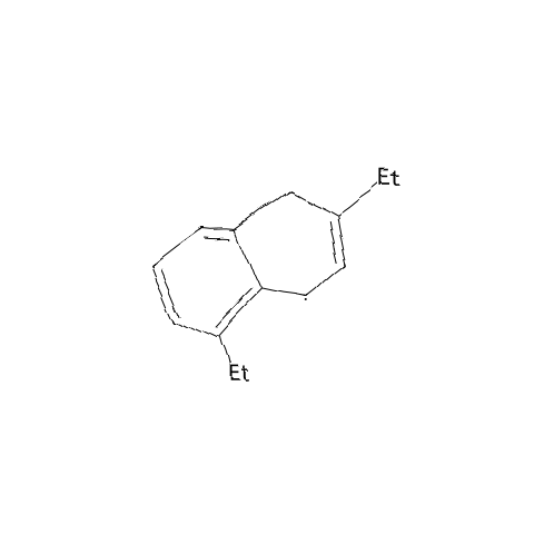 CCC1=C[CH]c2c(CC)cccc2C1